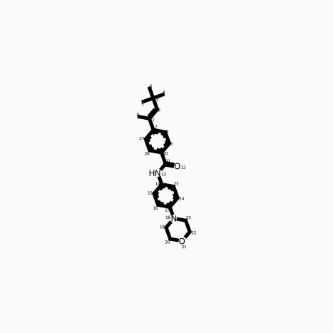 C/C(=C\C(C)(C)C)c1ccc(C(=O)Nc2ccc(N3CCOCC3)cc2)cc1